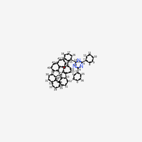 c1ccc(-c2nc(-c3ccccc3)nc(-c3ccccc3-c3ccc4c(c3)[Si](c3cccc5ccccc35)(c3cccc5ccccc35)c3ccccc3-4)n2)cc1